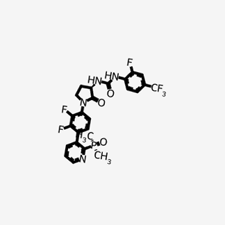 CP(C)(=O)c1ncccc1-c1ccc(N2CC[C@@H](NC(=O)Nc3ccc(C(F)(F)F)cc3F)C2=O)c(F)c1F